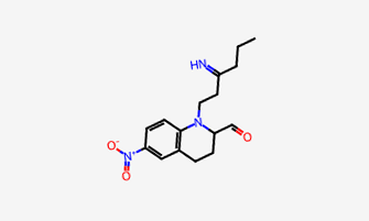 CCCC(=N)CCN1c2ccc([N+](=O)[O-])cc2CCC1C=O